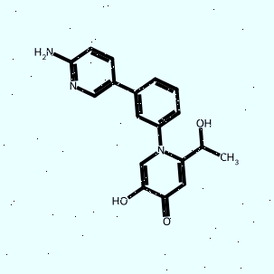 CC(O)c1cc(=O)c(O)cn1-c1cccc(-c2ccc(N)nc2)c1